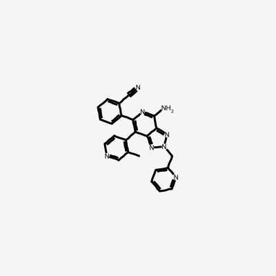 Cc1cnccc1-c1c(-c2ccccc2C#N)nc(N)c2nn(Cc3ccccn3)nc12